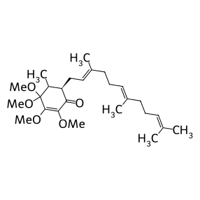 COC1=C(OC)C(OC)(OC)C(C)[C@@H](C/C=C(\C)CC/C=C(\C)CCC=C(C)C)C1=O